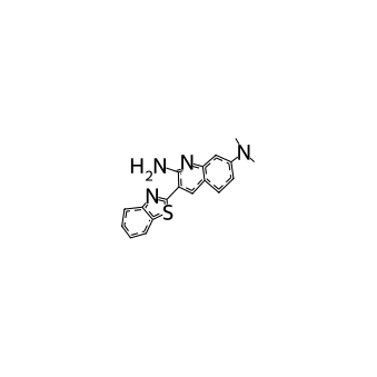 CN(C)c1ccc2cc(-c3nc4ccccc4s3)c(N)nc2c1